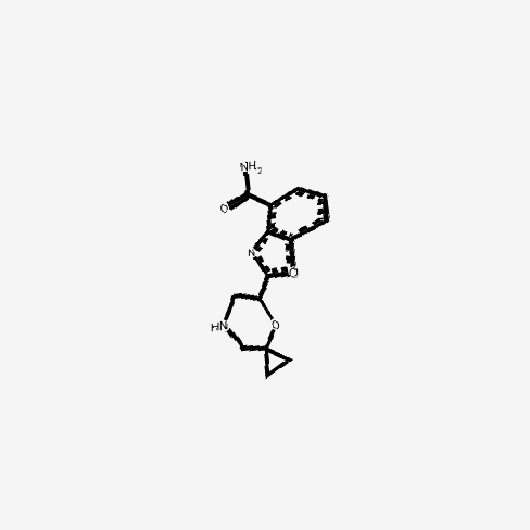 NC(=O)c1cccc2oc(C3CNCC4(CC4)O3)nc12